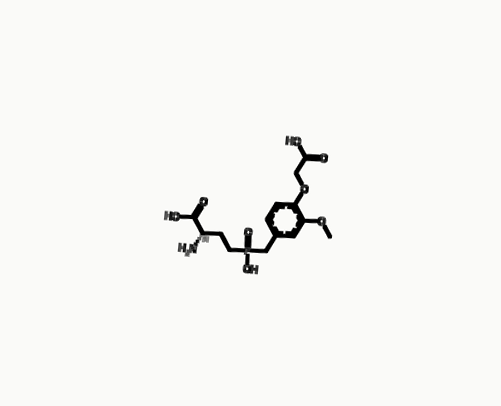 COc1cc(CP(=O)(O)CC[C@H](N)C(=O)O)ccc1OCC(=O)O